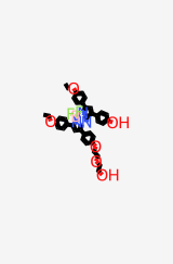 CCOc1ccc(C2=N/C(=N\c3c(-c4ccc(OCCOCCO)cc4)cc(-c4ccc(OCC)cc4)n3B(F)F)C(c3ccc(O)cc3)=C2)cc1